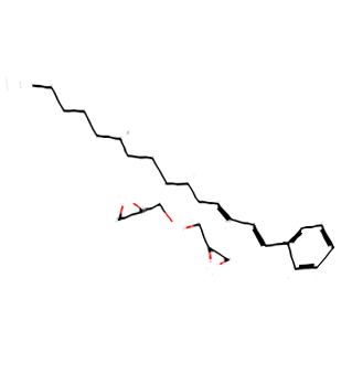 C(OCC1CO1)C1CO1.CCCCCCCCCCCC=CC=Cc1ccccc1